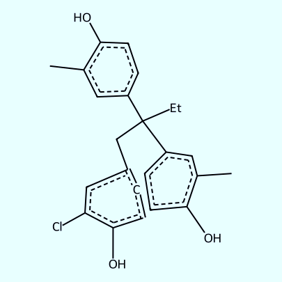 CCC(Cc1ccc(O)c(Cl)c1)(c1ccc(O)c(C)c1)c1ccc(O)c(C)c1